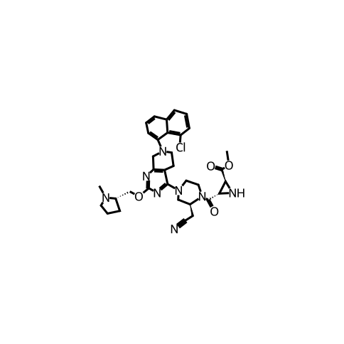 COC(=O)[C@H]1N[C@@H]1C(=O)N1CCN(c2nc(OC[C@@H]3CCCN3C)nc3c2CCN(c2cccc4cccc(Cl)c24)C3)C[C@@H]1CC#N